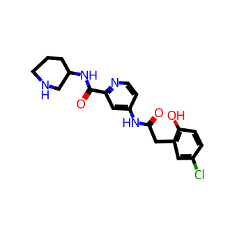 O=C(Cc1cc(Cl)ccc1O)Nc1ccnc(C(=O)NC2CCCNC2)c1